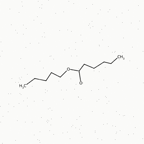 CCCCCOC([O])CCCCC